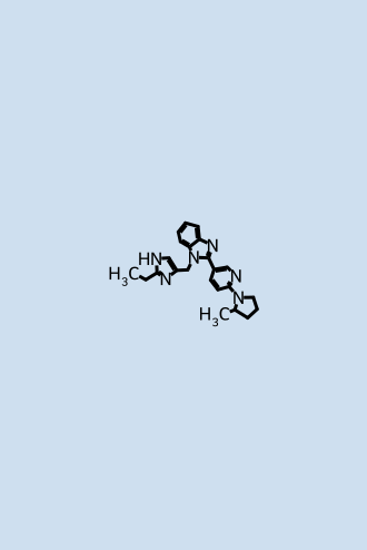 CCc1nc(Cn2c(-c3ccc(N4CCCC4C)nc3)nc3ccccc32)c[nH]1